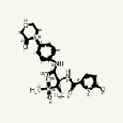 CC([C@H](NC(=O)c1ccc(Cl)s1)C(=O)Nc1ccc(N2CCOCC2=O)cc1)S(C)(=O)=O